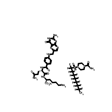 NC(=O)N1CCN(S(=O)(=O)C(F)(F)C(F)(F)C(F)(F)C(F)(F)C(F)(F)C(F)(F)C(F)(F)C(F)(F)F)CC1.NCCCC[C@H](NC(=O)[C@H](CCC(N)=O)NC(=O)c1ccc(NCc2cnc3nc(N)[nH]c(=O)c3n2)cc1)C(=O)O